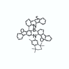 Cc1cc2c(cc1N1c3cc4c(oc5ccccc54)c4c3B(c3ccc5c(oc6ccccc65)c31)n1c3c-4cccc3c3sc4ccccc4c31)C(C)(C)CCC2(C)C